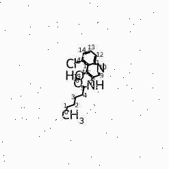 CCCCCC(=O)Nc1cnc2cccc(Cl)c2c1O